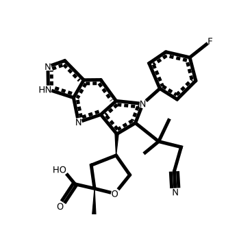 CC(C)(CC#N)c1c([C@H]2CO[C@](C)(C(=O)O)C2)c2nc3[nH]ncc3cc2n1-c1ccc(F)cc1